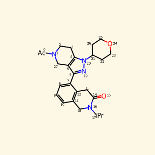 CC(=O)N1CCc2c(c(-c3cccc4c3CC(=O)N(C(C)C)C4)nn2C2CCOCC2)C1